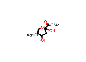 COC(=O)C1(O)CC(O)C(NC(C)=O)CO1